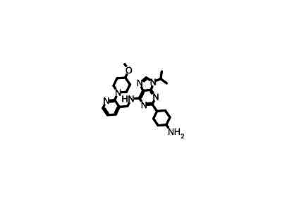 COC1CCN(c2ncccc2CNc2nc(C3CCC(N)CC3)nc3c2ncn3C(C)C)CC1